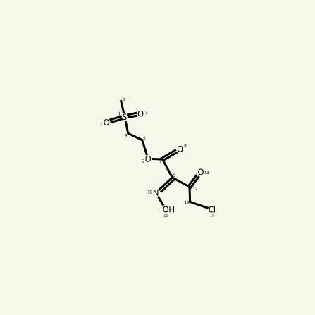 CS(=O)(=O)CCOC(=O)C(=NO)C(=O)CCl